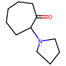 O=C1CCCCCC1N1CCCC1